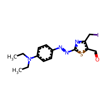 CCN(CC)c1ccc(/N=N/c2nc(CI)c(C=O)s2)cc1